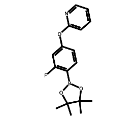 CC1(C)OB(c2ccc(Oc3ccccn3)cc2F)OC1(C)C